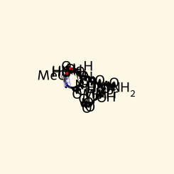 COc1cc(NC(=O)O[C@H]2CC(=O)N(C)c3cc(cc(OC)c3Cl)C/C(C)=C/C=C/[C@@H](OC)[C@@]3(O)C[C@H](OC(=O)N3)[C@@H](C)[C@@H]3O[C@@]23C)ccc1NC(=O)[C@H](CCCNC(N)=O)NC(=O)[C@@H](NC(=O)CCCCC(=O)ON1C(=O)CCC1=O)C(C)C